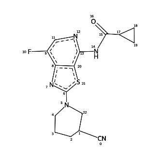 N#CC1CCCN(c2nc3c(F)cnc(NC(=O)C4CC4)c3s2)C1